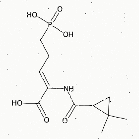 CC1(C)CC1C(=O)N/C(=C\CCP(=O)(O)O)C(=O)O